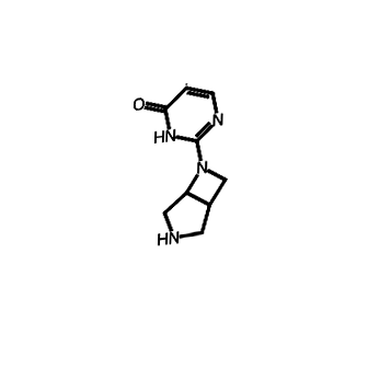 O=c1[c]cnc(N2CC3CNCC32)[nH]1